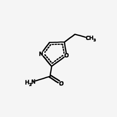 CCc1cnc(C(N)=O)o1